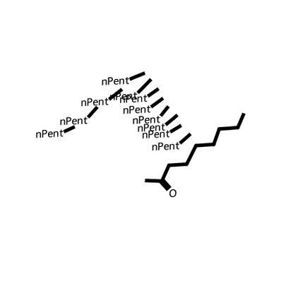 CCCCCC.CCCCCC.CCCCCC.CCCCCC.CCCCCC.CCCCCC.CCCCCC.CCCCCC.CCCCCC.CCCCCC.CCCCCC.CCCCCCCC(C)=O